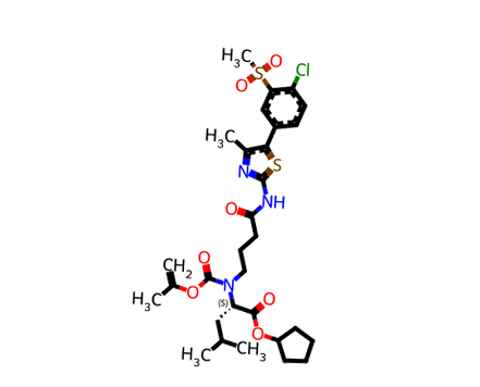 C=C(C)OC(=O)N(CCCC(=O)Nc1nc(C)c(-c2ccc(Cl)c(S(C)(=O)=O)c2)s1)[C@@H](CC(C)C)C(=O)OC1CCCC1